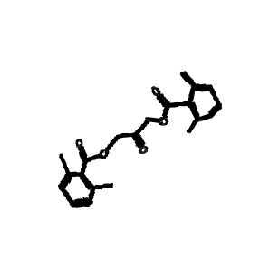 Cc1cccc(C)c1C(=O)OCC(=O)COC(=O)c1c(C)cccc1C